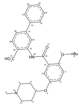 CCCCOc1ccc(OC2CCN(C)CC2)cc1C(=O)Nc1cc(-c2ccccc2)ccc1C(=O)O